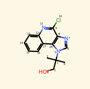 CC(C)(CO)n1cnc2c(Cl)nc3ccccc3c21